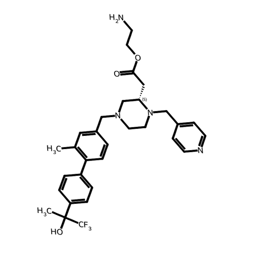 Cc1cc(CN2CCN(Cc3ccncc3)[C@@H](CC(=O)OCCN)C2)ccc1-c1ccc(C(C)(O)C(F)(F)F)cc1